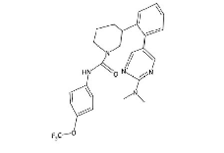 CN(C)c1ncc(-c2ccccc2C2CCCN(C(=O)Nc3ccc(OC(F)(F)F)cc3)C2)cn1